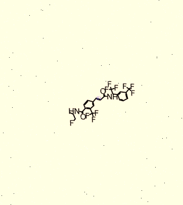 CC(CF)NC(=O)c1ccc(/C=C/C(=O)NC(c2cccc(C(F)(F)F)c2)C(F)(F)F)cc1C(F)(F)F